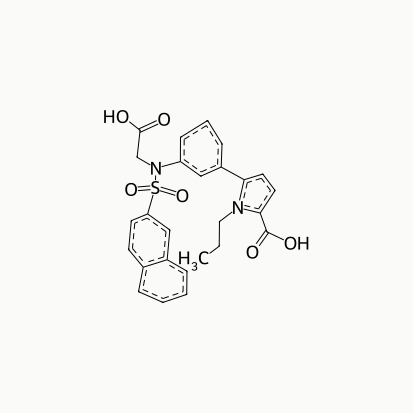 CCCn1c(C(=O)O)ccc1-c1cccc(N(CC(=O)O)S(=O)(=O)c2ccc3ccccc3c2)c1